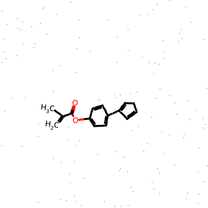 C=C(C)C(=O)Oc1ccc(C2=CCC=C2)cc1